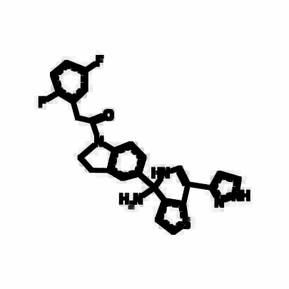 NC1(c2ccc3c(c2)CCN3C(=O)Cc2cc(F)ccc2F)NC=C(c2cc[nH]n2)c2sccc21